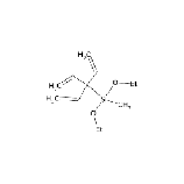 C=CC(C=C)(C=C)[Si](C)(OCC)OCC